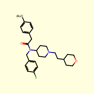 CC(C)COc1ccc(CC(=O)N(Cc2ccc(F)cc2)C2CCN(CCC3CCOCC3)CC2)cc1